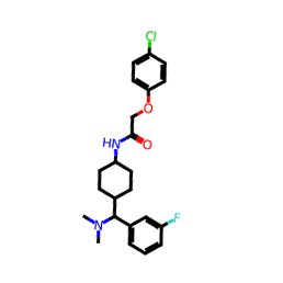 CN(C)C(c1cccc(F)c1)C1CCC(NC(=O)COc2ccc(Cl)cc2)CC1